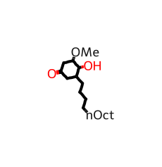 CCCCCCCCCCCCC1CC(=O)CC(OC)C1O